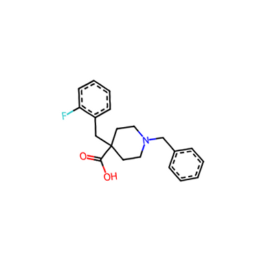 O=C(O)C1(Cc2ccccc2F)CCN(Cc2ccccc2)CC1